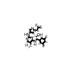 Cc1cnc(Nc2cnn(CC(F)F)c2)nc1N[C@H](CO)c1cc(F)cc(F)c1